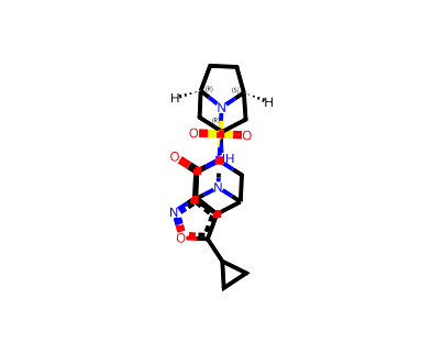 CN1C2CC1CN(S(=O)(=O)N1[C@@H]3CC[C@H]1C[C@@H](NC(=O)c1cc(C4CC4)on1)C3)C2